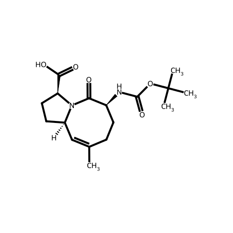 C/C1=C/[C@H]2CC[C@@H](C(=O)O)N2C(=O)[C@@H](NC(=O)OC(C)(C)C)CC1